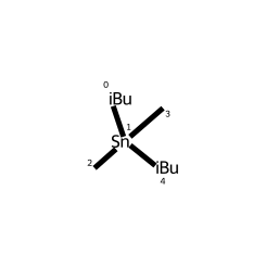 CC[CH](C)[Sn]([CH3])([CH3])[CH](C)CC